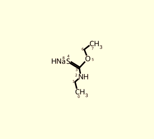 CCNC(=S)OCC.[NaH]